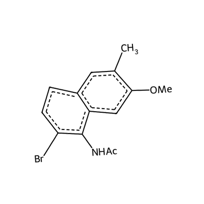 COc1cc2c(NC(C)=O)c(Br)ccc2cc1C